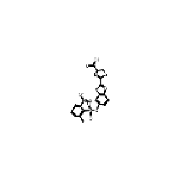 Cc1cccc([N+](=O)[O-])c1S(=O)(=O)Oc1ccc2nc(C3=NC(C(=O)O)CS3)sc2c1